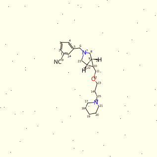 N#Cc1cccc(CN2C[C@@H]3C(COCCCN4CCCCC4)[C@@H]3C2)c1